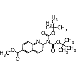 COC(=O)c1ccc2nc(N(C(=O)OC(C)(C)C)C(=O)OC(C)(C)C)ccc2c1